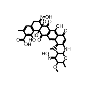 COC1/C(=N/O)C(OC)C(NC2=CC(=O)c3c(cc4c(c3O)C(=O)C3(OC)/C(=N\O)Cc5cc(C)c(C(=O)O)c(O)c5C3(O)C4=O)C2=O)OC1C